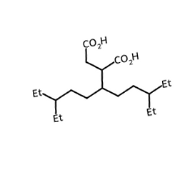 CCC(CC)CCC(CCC(CC)CC)C(CC(=O)O)C(=O)O